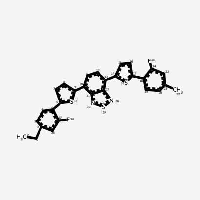 CCc1ccc(-c2ccc(-c3ccc(-c4ccc(-c5ccc(C)cc5F)s4)c4nsnc34)s2)c(F)c1